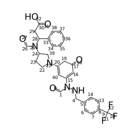 O=CN(NCc1ccc(C(F)(F)F)cc1)C1=CC(=O)CC(N2CCC(N(C=O)C(CC(=O)O)c3ccccc3)C2)=C1